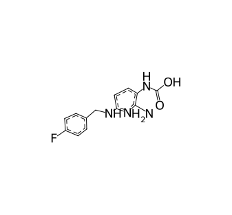 Nc1nc(NCc2ccc(F)cc2)ccc1NC(=O)O